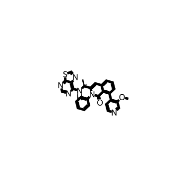 COc1cnccc1-c1cccc2cc([C@H](C)Nc3ncnc4scnc34)n(-c3ccccc3)c(=O)c12